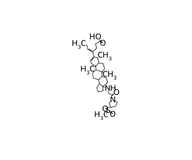 CC/C=C(\CCC(=O)O)C1=CCC2(C)C(CCC3(C)C4CCC5(NCC(=O)N6CCC(S(C)(=O)=O)C6)CCCC5C4CCC23)C1C